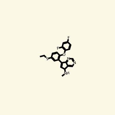 CCSc1ccc(Oc2ccc(F)cc2F)c(C2=CC(NC)c3cncnc32)c1